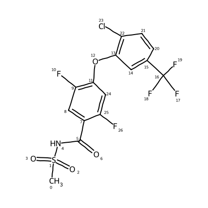 CS(=O)(=O)NC(=O)c1cc(F)c(Oc2cc(C(F)(F)F)ccc2Cl)cc1F